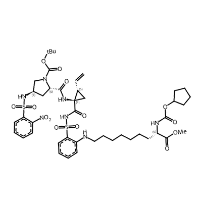 C=C[C@@H]1C[C@]1(NC(=O)[C@@H]1C[C@@H](NS(=O)(=O)c2ccccc2[N+](=O)[O-])CN1C(=O)OC(C)(C)C)C(=O)NS(=O)(=O)c1ccccc1NCCCCCCC[C@H](NC(=O)OC1CCCC1)C(=O)OC